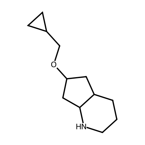 C1CNC2CC(OCC3CC3)CC2C1